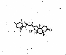 CC[C@@H]1/C(=C(/C)C[C@]2(C)O[C@@H]3C[C@H](C)CN[C@H]3[C@H]2C)C[C@H]2[C@H]1CC[C@H]1CC(=O)CC[C@@]12C